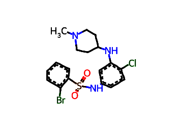 CN1CCC(Nc2cc(NS(=O)(=O)c3ccccc3Br)ccc2Cl)CC1